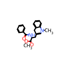 COC(=O)C(CC1=CN(C)c2ccccc2C1)NC(=O)c1ccccc1